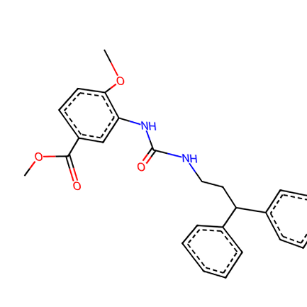 COC(=O)c1ccc(OC)c(NC(=O)NCCC(c2ccccc2)c2ccccc2)c1